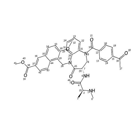 CN[C@@H](C)C(=O)N[C@H]1CN(C(=O)c2ccc(C(C)=O)cc2)c2ccccc2N(Cc2c(OC)ccc3cc(C(=O)OC)ccc23)C1=O